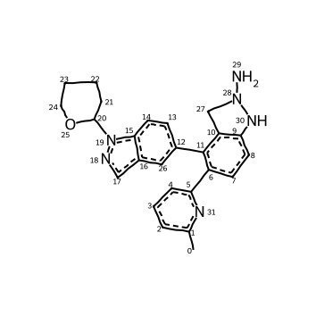 Cc1cccc(-c2ccc3c(c2-c2ccc4c(cnn4C4CCCCO4)c2)CN(N)N3)n1